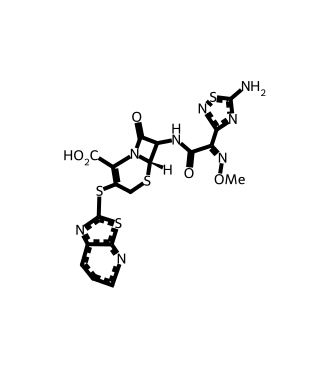 CO/N=C(\C(=O)NC1C(=O)N2C(C(=O)O)=C(Sc3nc4cccnc4s3)CS[C@@H]12)c1nsc(N)n1